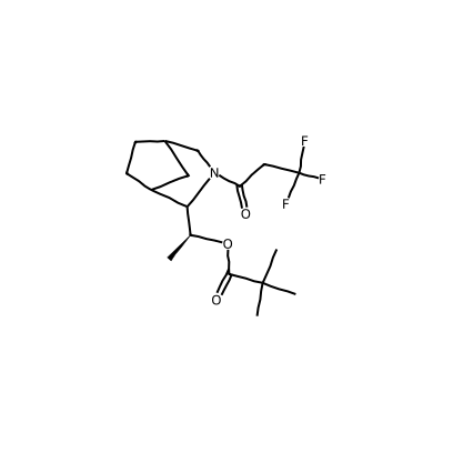 C[C@H](OC(=O)C(C)(C)C)C1C2CCC(C2)CN1C(=O)CC(F)(F)F